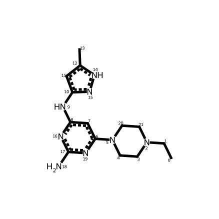 CCN1CCN(c2cc(Nc3cc(C)[nH]n3)nc(N)n2)CC1